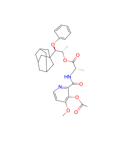 COc1ccnc(C(=O)N[C@@H](C)C(=O)O[C@@H](C)[C@H](Oc2ccccc2)C23CC4CC(CC(C4)C2)C3)c1OC(C)=O